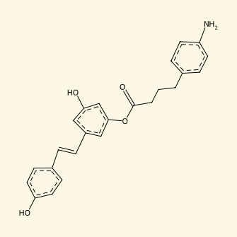 Nc1ccc(CCCC(=O)Oc2cc(O)cc(/C=C/c3ccc(O)cc3)c2)cc1